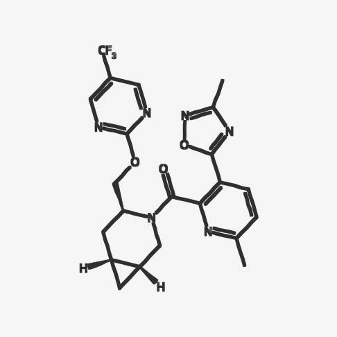 Cc1ccc(-c2nc(C)no2)c(C(=O)N2C[C@@H]3C[C@@H]3C[C@H]2COc2ncc(C(F)(F)F)cn2)n1